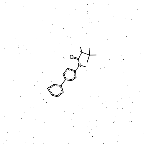 CC(C(=O)N(C)c1ccc(-c2ccccc2)cc1)C(C)(C)C